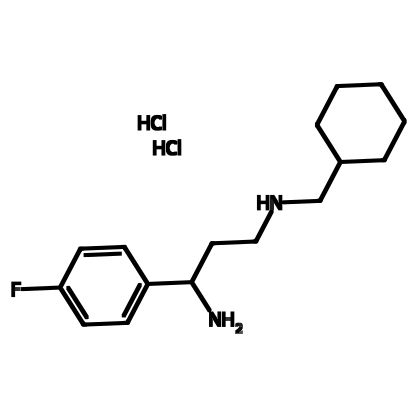 Cl.Cl.NC(CCNCC1CCCCC1)c1ccc(F)cc1